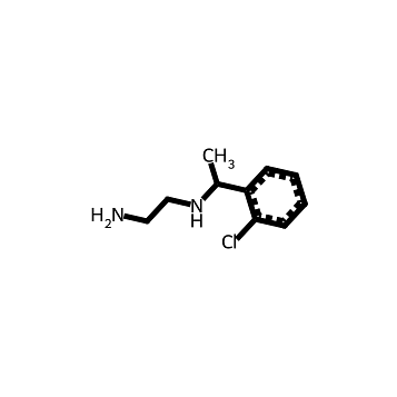 CC(NCCN)c1ccccc1Cl